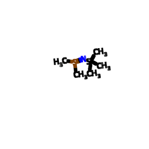 CS(C)=N[Si](C)(C)C